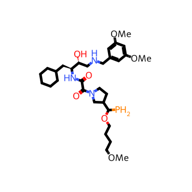 COCCCCOC(P)C1CCN(C(=O)C(=O)N[C@@H](CC2CCCCC2)[C@H](O)CNCc2cc(OC)cc(OC)c2)C1